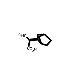 O=CC(C(=O)O)=C1CC2CCC1C2